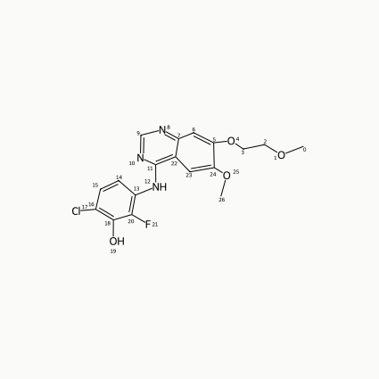 COCCOc1cc2ncnc(Nc3ccc(Cl)c(O)c3F)c2cc1OC